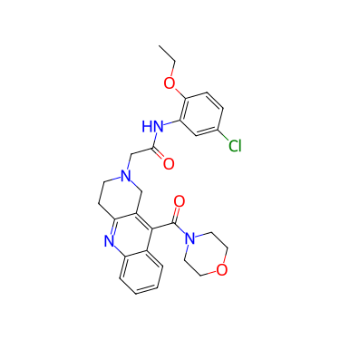 CCOc1ccc(Cl)cc1NC(=O)CN1CCc2nc3ccccc3c(C(=O)N3CCOCC3)c2C1